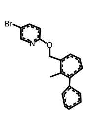 Cc1c(COc2ccc(Br)cn2)cccc1-c1ccccc1